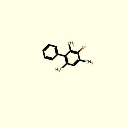 Cc1cc(C)c(-c2ccccc2)c(C)c1Br